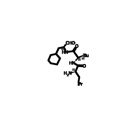 CC[C@H](C)[C@H](NC(=O)[C@@H](N)CC(C)C)C(=O)N[C@H]([C]=O)CC1CCCCC1